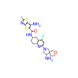 Cc1nc2sc(C(=O)NC3CCc4nc(N5CC(N)C6(CCOC6)C5)cc(F)c4C3)c(N)c2s1